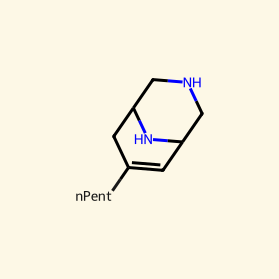 CCCCCC1=CC2CNCC(C1)N2